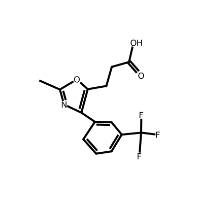 Cc1nc(-c2cccc(C(F)(F)F)c2)c(CCC(=O)O)o1